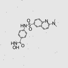 CN(C)c1ccc2cc(S(=O)(=O)Nc3ccc(C(=O)NO)cc3)ccc2n1